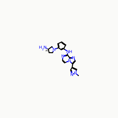 Cn1cc(-c2cnc3c(Nc4cccc(N5CC[C@@H](N)C5)c4)nccn23)cn1